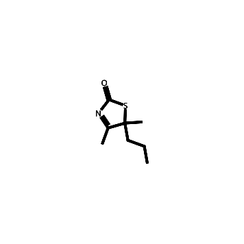 CCCC1(C)SC(=O)N=C1C